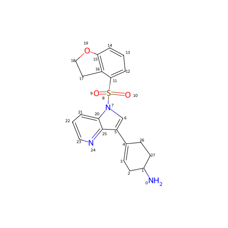 NC1CC=C(c2cn(S(=O)(=O)c3cccc4c3CCO4)c3cccnc23)CC1